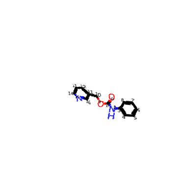 O=C(Nc1ccccc1)OCc1cccnc1